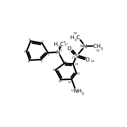 CN(c1ccccc1)c1ccc(N)cc1S(=O)(=O)N(C)C